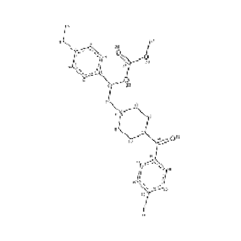 CCc1ccc(C(CN2CCC(C(=O)c3ccc(F)cc3)CC2)OC(=O)OC)cc1